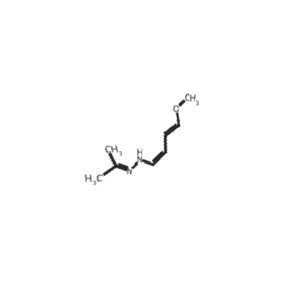 CO/C=C/C=C\NN=C(C)C